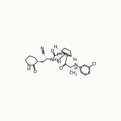 C[C@@H](Nc1cccc(Cl)c1)C(=O)N1[C@@H]2CC[C@H]([C@@H]1C(=O)N[C@@H](C#N)C[C@@H]1CCCNC1=O)C(F)(F)C2